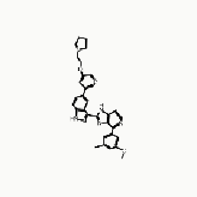 COc1cc(F)cc(-c2nccc3[nH]c(-c4n[nH]c5ccc(-c6cncc(OCCN7CCCC7)c6)cc45)nc23)c1